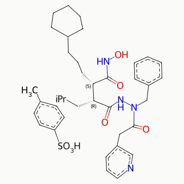 CC(C)C[C@@H](C(=O)NN(Cc1ccccc1)C(=O)Cc1cccnc1)[C@H](CCCC1CCCCC1)C(=O)NO.Cc1ccc(S(=O)(=O)O)cc1